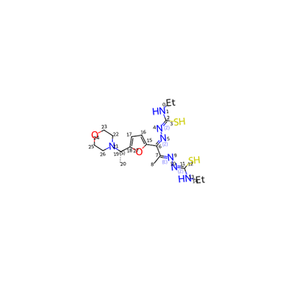 CCN/C(S)=N/N=C(/C(C)=N/N=C(\S)NCC)c1ccc([C@H](C)N2CCOCC2)o1